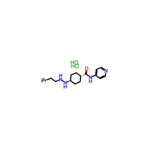 CC(C)CCNN[C@H]1CC[C@H](C(=O)Nc2ccncc2)CC1.Cl.Cl